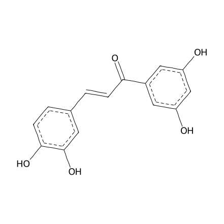 O=C(C=Cc1ccc(O)c(O)c1)c1cc(O)cc(O)c1